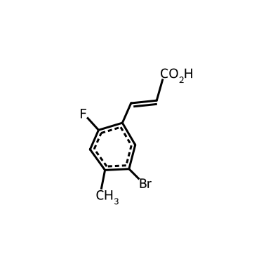 Cc1cc(F)c(/C=C/C(=O)O)cc1Br